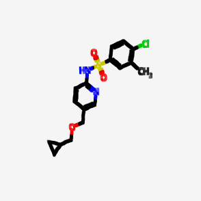 Cc1cc(S(=O)(=O)Nc2ccc(COCC3CC3)cn2)ccc1Cl